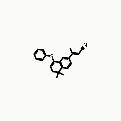 C/C(=C\C#N)c1ccc2c(c1)C(Sc1ccccc1)=CCC2(C)C